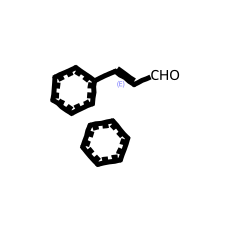 O=C/C=C/c1ccccc1.c1ccccc1